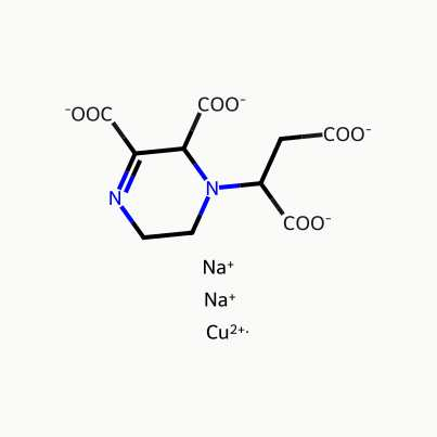 O=C([O-])CC(C(=O)[O-])N1CCN=C(C(=O)[O-])C1C(=O)[O-].[Cu+2].[Na+].[Na+]